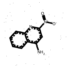 Nc1cc([N+](=O)[O-])nc2ccccc12